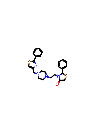 O=C1CSC(c2ccccc2)N1CCN1CCN(Cc2csc(-c3ccccc3)n2)CC1